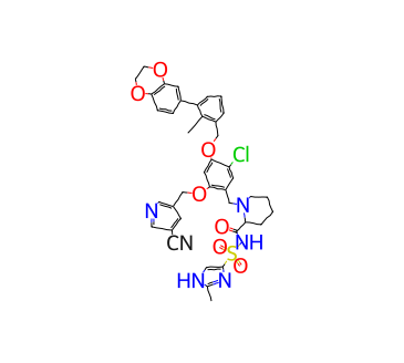 Cc1nc(S(=O)(=O)NC(=O)C2CCCCN2Cc2cc(Cl)c(OCc3cccc(-c4ccc5c(c4)OCCO5)c3C)cc2OCc2cncc(C#N)c2)c[nH]1